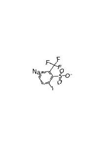 O=S(=O)([O-])c1c(I)cccc1C(F)(F)F.[Na+]